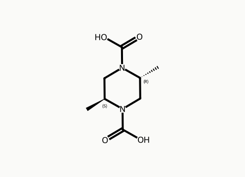 C[C@@H]1CN(C(=O)O)[C@@H](C)CN1C(=O)O